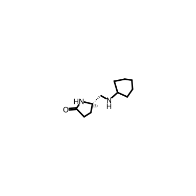 O=C1CC[C@@H](CNC2CCCCC2)N1